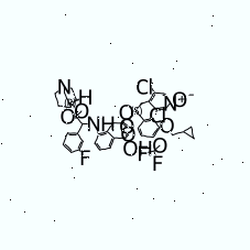 O=C(Cc1c(NC(C(=O)O[C@H]2CN3CCC2CC3)c2cccc(F)c2)cccc1C(=O)O)O[C@@H](Cc1c(Cl)c[n+]([O-])cc1Cl)c1ccc(OC(F)F)c(OCC2CC2)c1